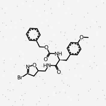 COc1ccc(C[C@H](NC(=O)OCc2ccccc2)C(=O)NCC2CC(Br)=NO2)cc1